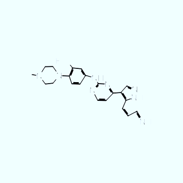 CN1CCN(c2ccc(Nc3nccc(-c4cn[nH]c4/C=C\C=N)n3)cc2C(F)(F)F)CC1